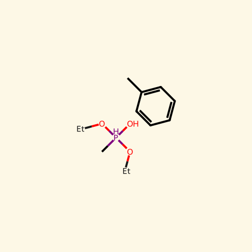 CCO[PH](C)(O)OCC.Cc1ccccc1